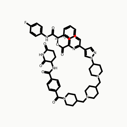 Nc1ncc(-c2cnn(C3CCN(CC4CCN(CC5CCN(C(=O)c6ccc(C(=O)NC7CCC(=O)NC7=O)cc6)CC5)CC4)CC3)c2)nc1C(=O)O[C@@H](C(=O)Nc1ccc(F)cc1)c1ccccc1